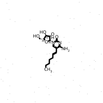 CCCCCC=Cc1cn([C@@H]2O[C@H](CO)[C@@H](O)[C@@H]2O)c(=O)nc1N